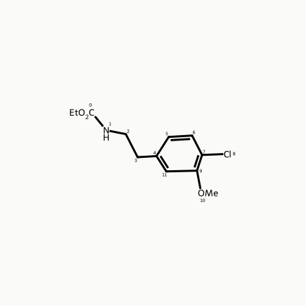 CCOC(=O)NCCc1ccc(Cl)c(OC)c1